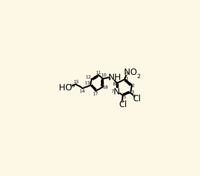 O=[N+]([O-])c1cc(Cl)c(Cl)nc1Nc1ccc(CCO)cc1